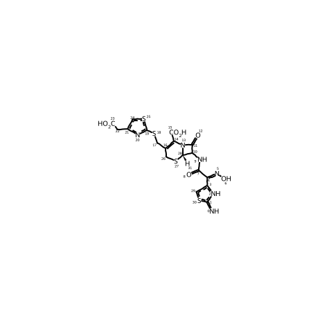 N=c1[nH]c(C(=NO)C(=O)NC2C(=O)N3C(C(=O)O)=C(CSc4nc(CC(=O)O)cs4)CS[C@@H]23)cs1